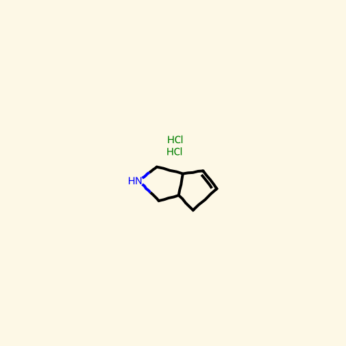 C1=CC2CNCC2C1.Cl.Cl